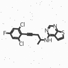 CC(CC#Cc1c(Cl)cc(F)cc1Cl)Nc1ncnc2sccc12